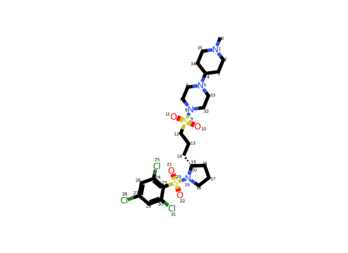 CN1CCC(N2CCN(S(=O)(=O)CCC[C@@H]3CCCN3S(=O)(=O)c3c(Cl)cc(Cl)cc3Cl)CC2)CC1